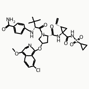 C=C[C@@H]1C[C@]1(NC(=O)[C@@H]1C[C@@H](Oc2ncc(OC)c3ccc(Cl)cc23)CN1C(=O)[C@H](Nc1ccc(C(N)=O)cc1)C(C)(C)C)C(=O)NS(=O)(=O)C1CC1